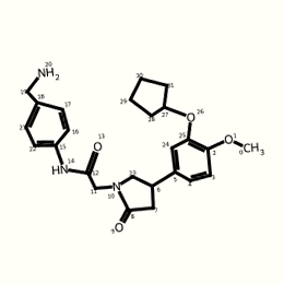 COc1ccc(C2CC(=O)N(CC(=O)Nc3ccc(CN)cc3)C2)cc1OC1CCCC1